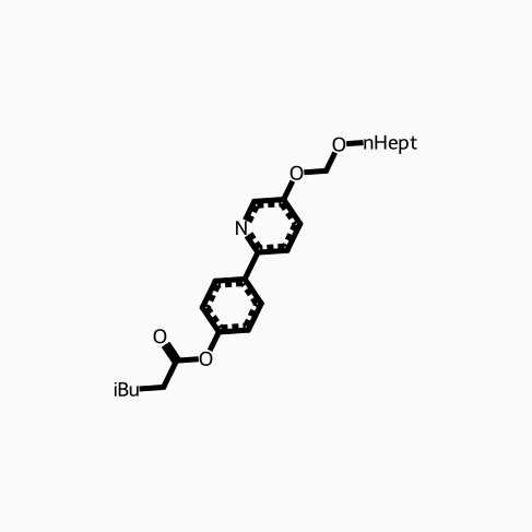 CCCCCCCOCOc1ccc(-c2ccc(OC(=O)CC(C)CC)cc2)nc1